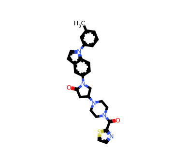 Cc1cccc(-n2ccc3cc(N4CC(N5CCN(C(=O)c6nccs6)CC5)CC4=O)ccc32)c1